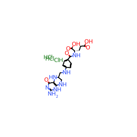 Cl.Cl.Cl.Nc1nc(=O)c2c([nH]1)NCC(CNc1ccc(C(=O)N[C@@H](CCC(=O)O)C(=O)O)cc1)N2